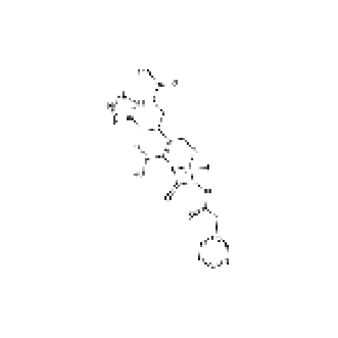 NC(=O)CCC(Sc1nnn[nH]1)C1=C(C(=O)O)N2C(=O)C(NC(=S)Cc3cccnc3)[C@@H]2SC1